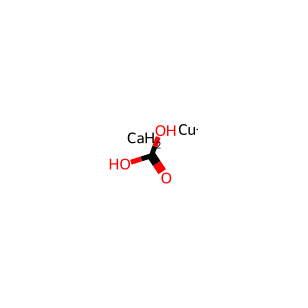 O=C(O)O.[CaH2].[Cu]